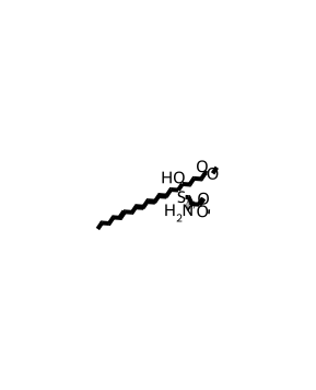 CCCCC=CCC=CC=CC=CCC(SC[C@H](N)C(=O)OC)C(O)CCCC(=O)OC